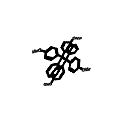 COc1ccc(C(c2ccccc2)(c2ccc(OC)cc2)C(c2ccccc2)(c2ccc(OC)cc2)c2ccc(OC)cc2)cc1